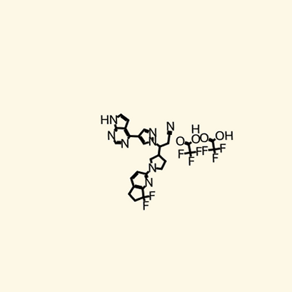 N#CCC(C1CCN(c2ccc3c(n2)C(F)(F)CC3)C1)n1cc(-c2ncnc3[nH]ccc23)cn1.O=C(O)C(F)(F)F.O=C(O)C(F)(F)F